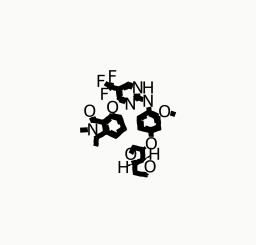 COc1cc(O[C@@H]2CO[C@@H]3CCO[C@@H]32)ccc1Nc1ncc(C(F)(F)F)c(Oc2cccc3c2C(=O)N(C)C3C)n1